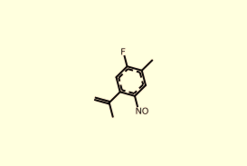 C=C(C)c1cc(F)c(C)cc1N=O